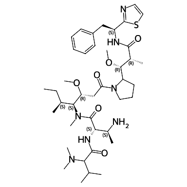 CC[C@H](C)[C@@H]([C@@H](CC(=O)N1CCCC1[C@H](OC)[C@@H](C)C(=O)N[C@@H](Cc1ccccc1)c1nccs1)OC)N(C)C(=O)[C@@H](NC(=O)C(C(C)C)N(C)C)[C@H](C)N